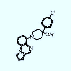 OC1(c2ccc(Cl)cc2)CCN(c2cccc3c2ncc2cccn23)CC1